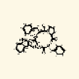 O=C1N[C@H](Cc2ccccc2)C(=O)N[C@@H](Cc2c[nH]c3ccccc23)C(=O)N[C@@H](Cc2ccccc2)C(=O)N2CCCC12